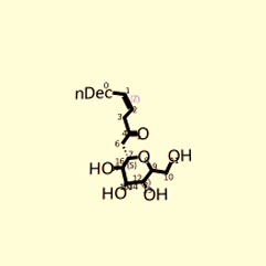 CCCCCCCCCC/C=C\CC(=O)C[C@@H]1OC(CO)[C@@H](O)[C@H](O)C1O